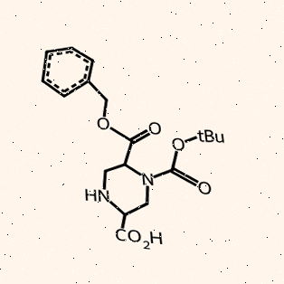 CC(C)(C)OC(=O)N1CC(C(=O)O)NCC1C(=O)OCc1ccccc1